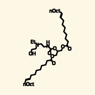 CCCCCCCCC=CCCCCCCCC(=O)OCC(COC(=O)CCCCCCCC=CCCCCCCCC)OC(=O)NCCN(CC)CCO